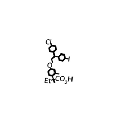 CCC(C)(C(=O)O)c1ccc(OCC=C(c2ccc(Cl)cc2)c2ccc(I)cc2)cc1C